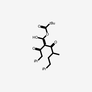 CC(C)CCC(C)C(=O)/C(C(=O)CC(C)C)=C(/O)OC(=O)C(C)(C)C